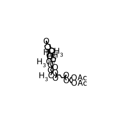 CC(=O)OCC(COC(C)=O)OC(=O)CCC(=O)OC(C)OC(=O)O[C@H]1CC[C@H]2[C@@H]3CCC4=CC(=O)CC[C@]4(C)[C@H]3CC[C@]12C